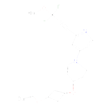 CC(C)(C)COC1CC(OC2CCN(c3ccnc(C#CC(F)(F)OC(C)(C)C)c3)CC2)C1